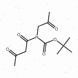 CC(=O)CC(=O)N(CC(C)=O)C(=O)OC(C)(C)C